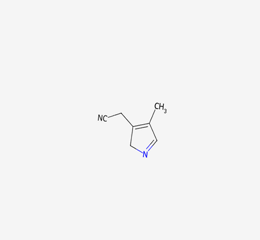 CC1=C(CC#N)CN=C1